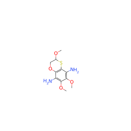 COc1c(N)c2c(c(N)c1OC)SC(OC)CO2